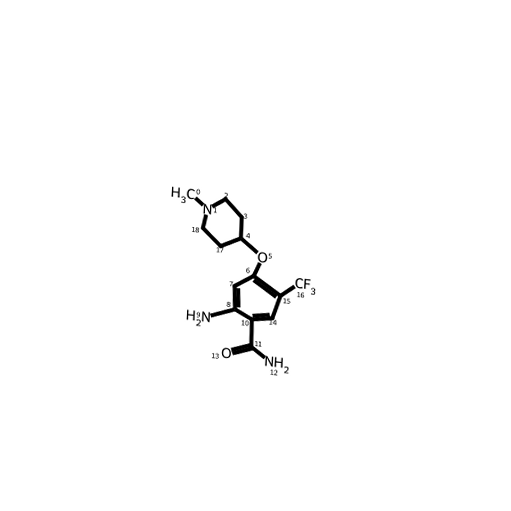 CN1CCC(Oc2cc(N)c(C(N)=O)cc2C(F)(F)F)CC1